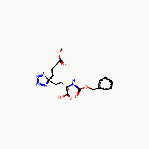 COC(=O)CCC1(CC[C@H](NC(=O)OCc2ccccc2)C(=O)O)N=NN=N1